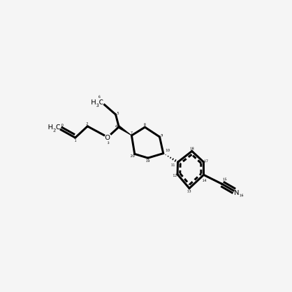 C=CCOC(CC)[C@H]1CC[C@H](c2ccc(C#N)cc2)CC1